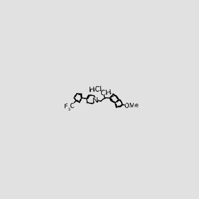 COc1ccc2cc(C(C)CN3CC=C(c4cccc(C(F)(F)F)c4)CC3)ccc2c1.Cl